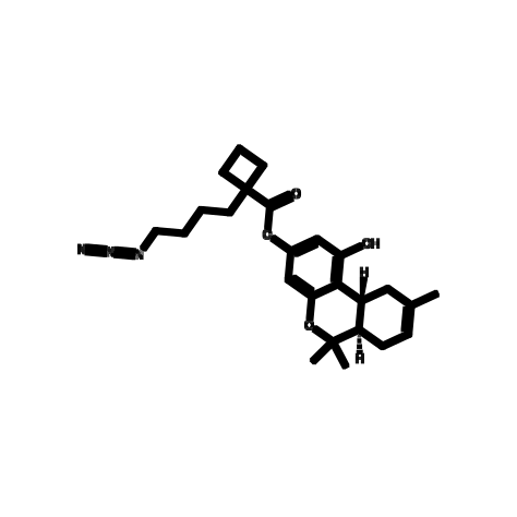 CC1=CC[C@@H]2[C@@H](C1)c1c(O)cc(OC(=O)C3(CCCCN=[N+]=[N-])CCC3)cc1OC2(C)C